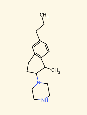 CCCc1ccc2c(c1)CCC(N1CCNCC1)C2C